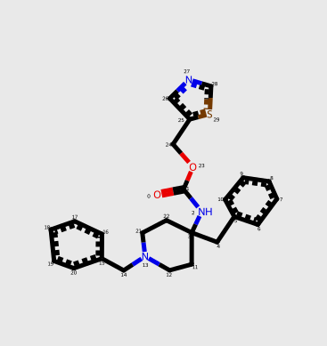 O=C(NC1(Cc2ccccc2)CCN(Cc2ccccc2)CC1)OCc1cncs1